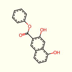 O=C(Oc1ccccc1)c1cc2cccc(O)c2cc1O